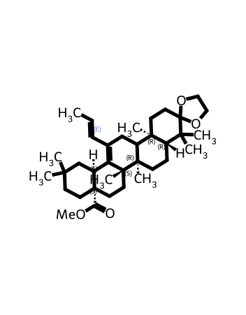 C/C=C/C1=C2[C@@H]3CC(C)(C)CC[C@]3(C(=O)OC)CC[C@@]2(C)[C@]2(C)CC[C@H]3C(C)(C)C4(CC[C@]3(C)C2C1)OCCO4